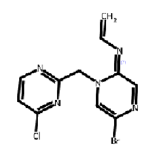 C=C/N=c1/cnc(Br)cn1Cc1nccc(Cl)n1